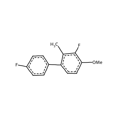 COc1ccc(-c2ccc(F)cc2)c(C)c1F